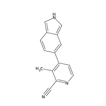 Cc1c(-c2ccc3c[nH]cc3c2)ccnc1C#N